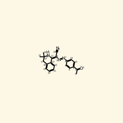 CC(=O)c1ccc(N=NC(C#N)=C2NC(C)(C)Cc3ccccc32)cc1